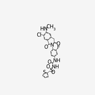 CNc1cc2c(cc1Cl)C(=O)N(c1ccc(NC(=O)NS(=O)(=O)c3cccs3)cc1F)C(=O)C2